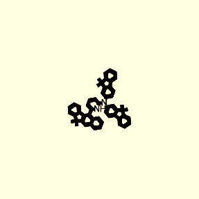 CC1(C)c2ccccc2-c2ccc(N(c3ccc4c(c3)C(C)(C)c3ccccc3-4)C3C=CC=C(c4c5c(cc6ccccc46)C(C)(C)c4ccccc4-5)N3)cc21